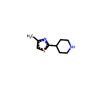 Cc1csc(C2CCNCC2)n1